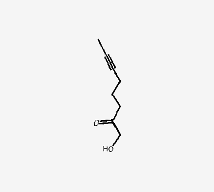 CC#CCCCC(=O)CO